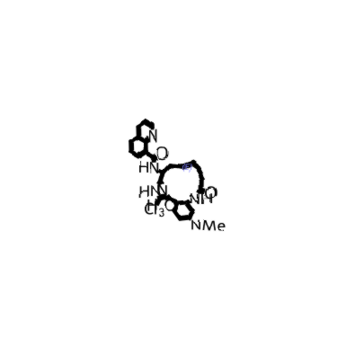 CNC1=CCC2(C)C(=C1)NC(=O)CC/C=C/CC(NC(=O)c1cccc3cccnc13)c1nc2c(Cl)[nH]1